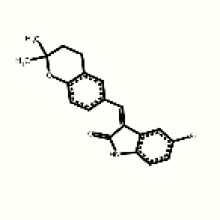 CC1(C)CCc2cc(C=C3C(=O)Nc4ccc(Br)cc43)ccc2O1